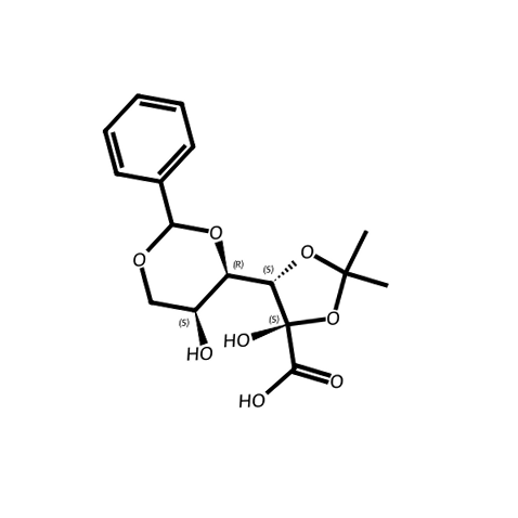 CC1(C)O[C@@H]([C@@H]2OC(c3ccccc3)OC[C@@H]2O)[C@@](O)(C(=O)O)O1